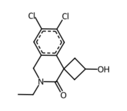 CCN1Cc2cc(Cl)c(Cl)cc2C2(CC(O)C2)C1=O